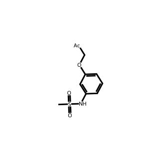 CC(=O)COc1cccc(NS(C)(=O)=O)c1